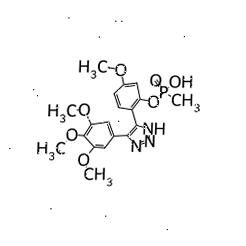 COc1ccc(-c2[nH]nnc2-c2cc(OC)c(OC)c(OC)c2)c(OP(C)(=O)O)c1